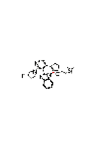 C[Si](C)(C)CCOCn1c(-c2c(C3=CCCC3)ccnc2N2CC[C@H](F)C2)nc2ccccc21